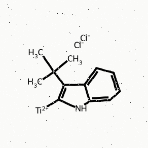 CC(C)(C)c1[c]([Ti+2])[nH]c2ccccc12.[Cl-].[Cl-]